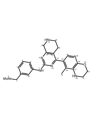 CNCc1cccc(Nc2nc3c(c(-c4cnc5c(c4C)NCCO5)n2)CCNC3)c1